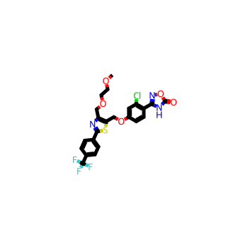 COCCOCc1nc(-c2ccc(C(F)(F)F)cc2)sc1COc1ccc(-c2noc(=O)[nH]2)c(Cl)c1